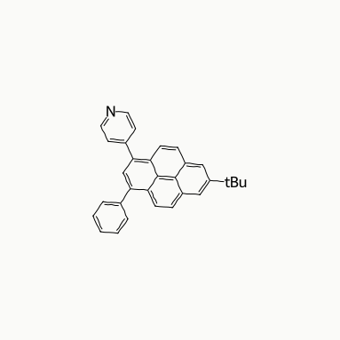 CC(C)(C)c1cc2ccc3c(-c4ccccc4)cc(-c4ccncc4)c4ccc(c1)c2c34